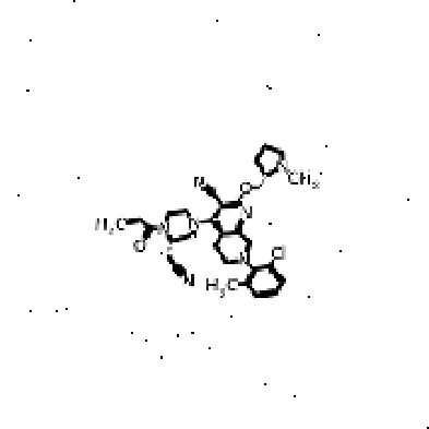 C=CC(=O)N1CCN(c2c(C#N)c(OC[C@@H]3CCCN3C)nc3c2CCN(c2c(C)cccc2Cl)C3)C[C@@H]1CC#N